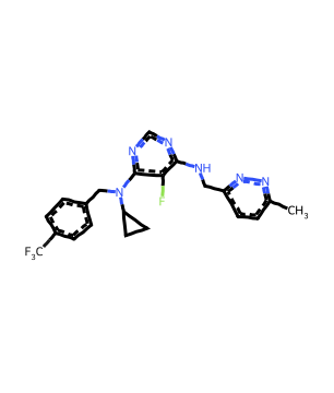 Cc1ccc(CNc2ncnc(N(Cc3ccc(C(F)(F)F)cc3)C3CC3)c2F)nn1